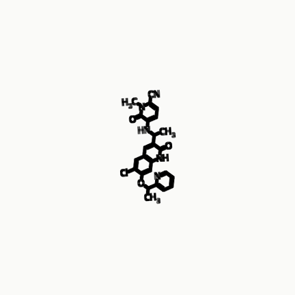 CC(Nc1ccc(C#N)n(C)c1=O)c1cc2cc(Cl)c(OC(C)c3ccccn3)cc2[nH]c1=O